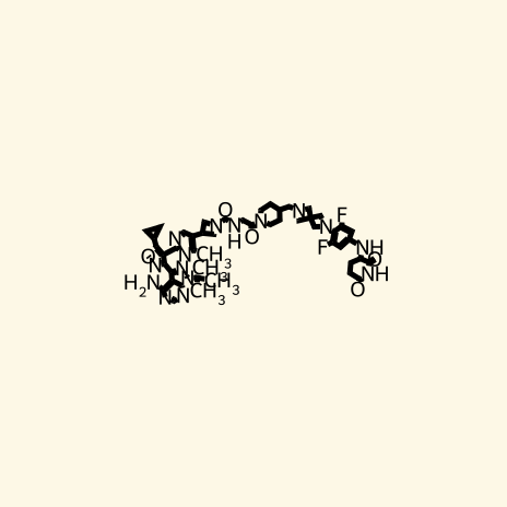 Cc1nc(-c2c(-c3nn(C(C)(C)C)c4ncnc(N)c34)noc2C2CC2)ncc1C1CN(C(=O)NCC(=O)N2CCC(CN3CC4(C3)CN(c3c(F)cc(NC5CCC(=O)NC5=O)cc3F)C4)CC2)C1